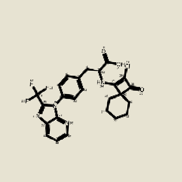 O=C(O)[C@H](Cc1ccc(-n2c(C(F)(F)F)nc3cccnc32)cc1)NC1=C(Cl)C(=O)C12CCCCC2